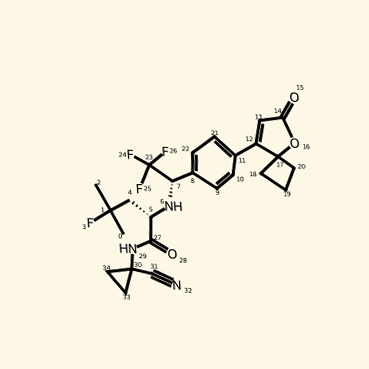 CC(C)(F)C[C@H](N[C@@H](c1ccc(C2=CC(=O)OC23CCC3)cc1)C(F)(F)F)C(=O)NC1(C#N)CC1